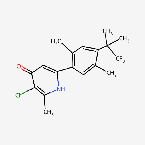 Cc1cc(C(C)(C)C(F)(F)F)c(C)cc1-c1cc(=O)c(Cl)c(C)[nH]1